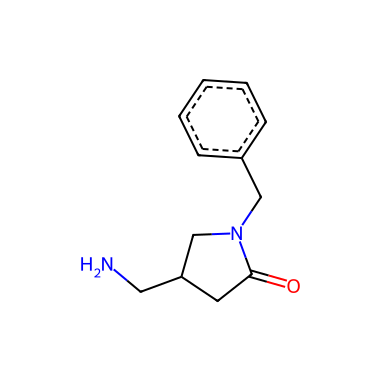 NCC1CC(=O)N(Cc2ccccc2)C1